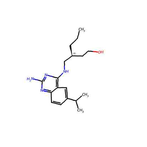 CCC[C@@H](CCO)CNc1nc(N)nc2ccc(C(C)C)cc12